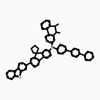 CC1c2ccccc2-c2ccc(N(c3ccc(-c4ccc(-c5ccccc5)cc4)cc3)c3ccc4c(c3)C3(CCCC3)c3cc(-c5ccc6c(c5)oc5ccccc56)ccc3-4)cc2C1C